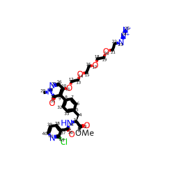 COC(=O)[C@H](Cc1ccc(-c2c(OCCOCCOCCOCCN=[N+]=[N-])cnn(C)c2=O)cc1)NC(=O)c1cccnc1Cl